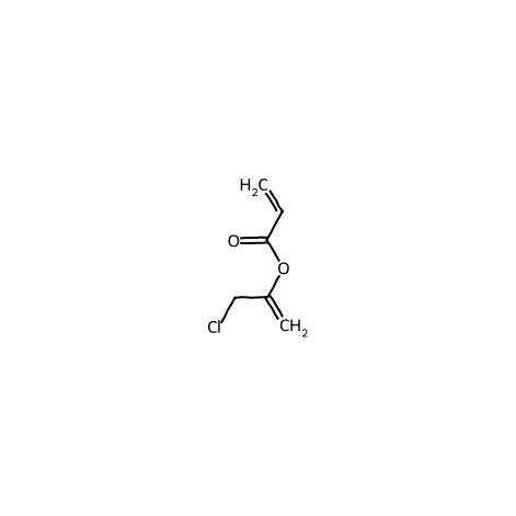 C=CC(=O)OC(=C)CCl